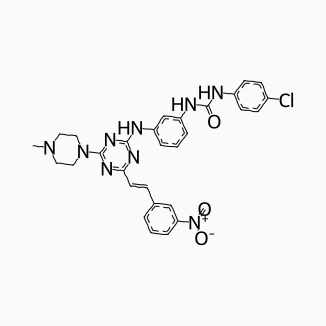 CN1CCN(c2nc(/C=C/c3cccc([N+](=O)[O-])c3)nc(Nc3cccc(NC(=O)Nc4ccc(Cl)cc4)c3)n2)CC1